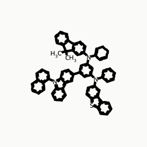 CC1(C)c2ccccc2-c2ccc(N(C3=CCCC=C3)c3cc(-c4ccc5c(c4)c4ccccc4n5-c4cccc5ccccc45)cc(N(c4ccccc4)c4ccc5sc6ccccc6c5c4)c3)cc21